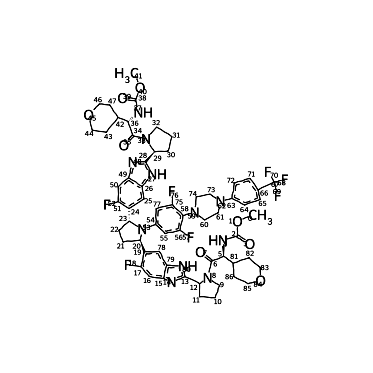 COC(=O)N[C@H](C(=O)N1CCCC1c1nc2cc(F)c([C@H]3CC[C@H](c4cc5[nH]c([C@@H]6CCCN6C(=O)[C@@H](NC(=O)OC)C6CCOCC6)nc5cc4F)N3c3cc(F)c(N4CCN(c5ccc(C(F)(F)F)cc5)CC4)c(F)c3)cc2[nH]1)C1CCOCC1